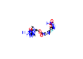 Cn1nc(N2CCC(=O)NC2=O)c2ccc(C3CCN(CC4CCN(C(=O)CCOCCc5cnc(-c6c(-c7nn(C(C)(C)C)c8ncnc(N)c78)noc6C6CC6)nc5)CC4)CC3)c(F)c21